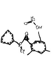 CCP(C(=O)c1c(C)cc(C)cc1C)c1ccccc1.O=[PH2]O